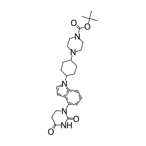 CC(C)(C)OC(=O)N1CCN(C2CCC(n3ccc4c(N5CCC(=O)NC5=O)cccc43)CC2)CC1